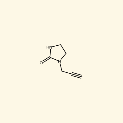 [C]#CCN1CCNC1=O